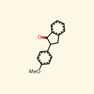 COc1ccc(C2Cc3ccccc3C2=O)cc1